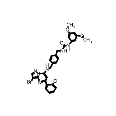 COc1cc(NC(=O)NCc2ccc(CNc3cc(-c4ccccc4Cl)nc4c(Br)cnn34)cc2)cc(OC)c1